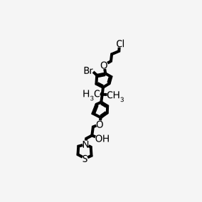 CC(C)(c1ccc(OCC(O)CN2CCSCC2)cc1)c1ccc(OCCCCl)c(Br)c1